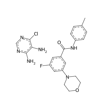 Cc1ccc(NC(=O)c2cc(F)cc(N3CCOCC3)c2)cc1.Nc1ncnc(Cl)c1N